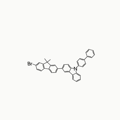 CC1(C)c2cc(Br)ccc2-c2ccc(-c3ccc4c(c3)c3ccccc3n4-c3ccc(-c4ccccc4)cc3)cc21